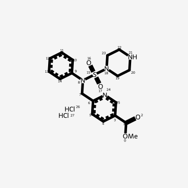 COC(=O)c1ccc(CN(c2ccccc2)S(=O)(=O)N2CCNCC2)nc1.Cl.Cl